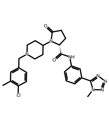 Cc1cc(CN2CCC(N3C(=O)CC[C@@H]3C(=O)Nc3cccc(-c4nnnn4C)c3)CC2)ccc1Cl